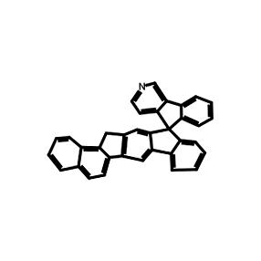 c1ccc2c(c1)-c1cnccc1C21c2ccccc2-c2cc3c(cc21)Cc1c-3ccc2ccccc12